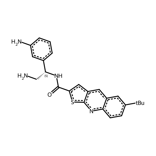 CC(C)(C)c1ccc2nc3sc(C(=O)N[C@H](CN)c4cccc(N)c4)cc3cc2c1